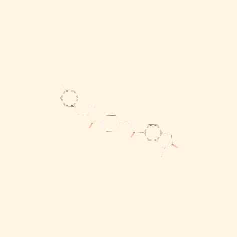 CN1C(=O)Cc2ccc(C(=O)NC3CCN(C(=O)C(N)Cc4ccc(O)cc4)CC3)cc21